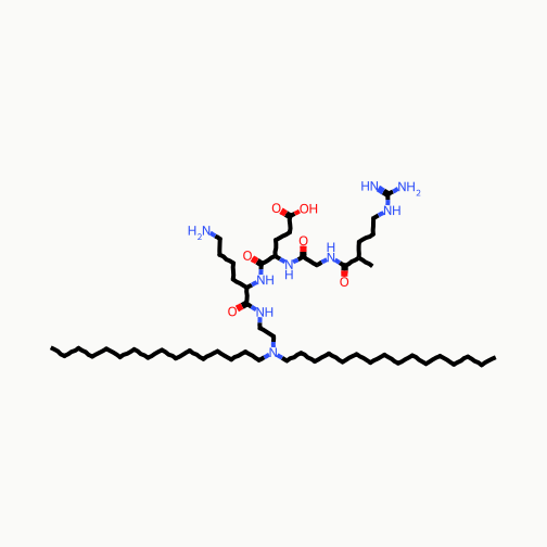 CCCCCCCCCCCCCCCCN(CCCCCCCCCCCCCCCC)CCNC(=O)C(CCCCN)NC(=O)C(CCC(=O)O)NC(=O)CNC(=O)C(C)CCCNC(=N)N